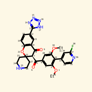 CCOc1cc(C(=O)[C@@H]2C(=O)c3cc(-c4nnn[nH]4)ccc3OC23CCNCC3)cc(OCC)c1-c1ccnc(F)c1